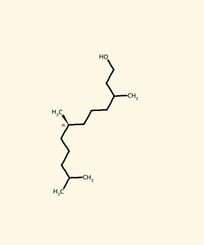 CC(C)CCC[C@@H](C)CCCC(C)CCO